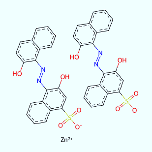 O=S(=O)([O-])c1cc(O)c(N=Nc2c(O)ccc3ccccc23)c2ccccc12.O=S(=O)([O-])c1cc(O)c(N=Nc2c(O)ccc3ccccc23)c2ccccc12.[Zn+2]